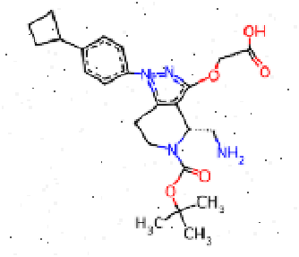 CC(C)(C)OC(=O)N1CCc2c(c(OCC(=O)O)nn2-c2ccc(C3CCC3)cc2)[C@@H]1CN